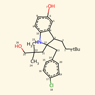 CC(C)(C)CCC1c2cc(O)ccc2NC1(Cc1ccc(Cl)cc1)CC(C)(C)CO